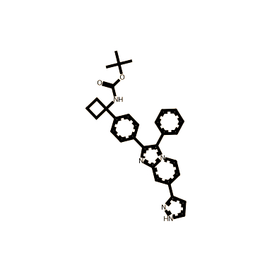 CC(C)(C)OC(=O)NC1(c2ccc(-c3nc4cc(-c5cc[nH]n5)ccn4c3-c3ccccc3)cc2)CCC1